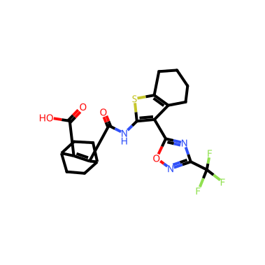 O=C(O)C1=C(C(=O)Nc2sc3c(c2-c2nc(C(F)(F)F)no2)CCCC3)C2CCC1CC2